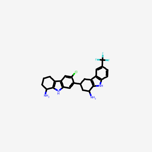 NC1CCCc2c1[nH]c1cc(C3Cc4c([nH]c5ccc(C(F)(F)F)cc45)C(N)C3)c(Cl)cc21